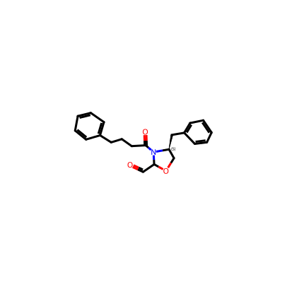 O=CC1OC[C@H](Cc2ccccc2)N1C(=O)CCCc1ccccc1